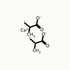 CC(I)C(=O)[O-].CC(I)C(=O)[O-].[Ca+2]